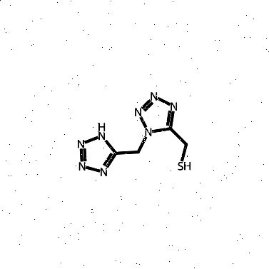 SCc1nnnn1Cc1nnn[nH]1